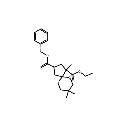 CCOC(=O)C1(C)CN(C(=O)OCc2ccccc2)CC12OCC(C)(C)CO2